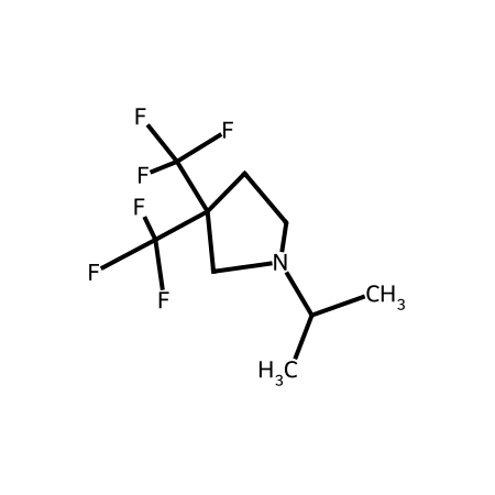 CC(C)N1CCC(C(F)(F)F)(C(F)(F)F)C1